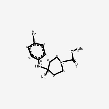 CC(C)(C)OC(=O)N1CCC(C#N)(Nc2ccc(Br)cc2)CC1